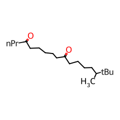 CCCC(=O)CCCCCC(=O)CCCCC(C)C(C)(C)C